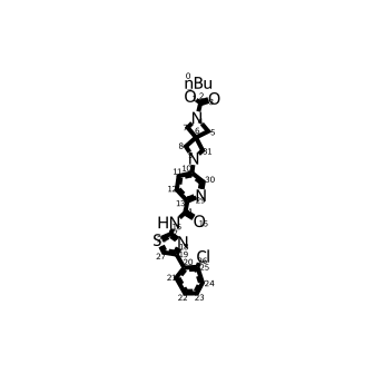 CCCCOC(=O)N1CC2(C1)CN(c1ccc(C(=O)Nc3nc(-c4ccccc4Cl)cs3)nc1)C2